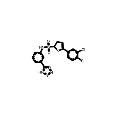 O=S(=O)(Nc1cccc(-c2nnn[nH]2)c1)C1CC=C(c2ccc(Cl)c(Cl)c2)S1